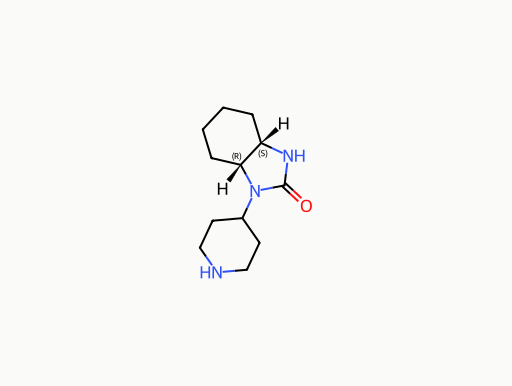 O=C1N[C@H]2CCCC[C@H]2N1C1CCNCC1